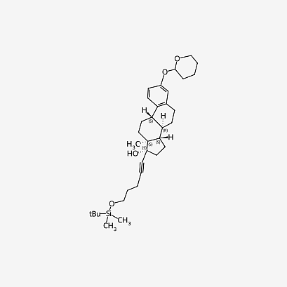 CC(C)(C)[Si](C)(C)OCCCC#C[C@]1(O)CC[C@H]2[C@@H]3CCc4cc(OC5CCCCO5)ccc4[C@H]3CC[C@@]21C